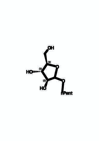 CCCCCOC1O[C@H](CO)[C@@H](O)[C@@H]1O